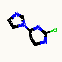 Clc1nccc(-n2ccnc2)n1